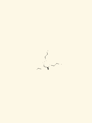 O=C(O)CC[C@H](NNCCO)C(=O)NCCO